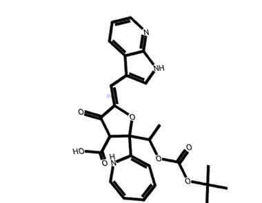 CC(OC(=O)OC(C)(C)C)C1(C2=CC=CC=CN2)O/C(=C\c2c[nH]c3ncccc23)C(=O)C1C(=O)O